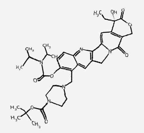 CC[C@@]1(O)C(=O)OCc2c1cc1n(c2=O)Cc2cc3c(CN4CCN(C(=O)OC(C)(C)C)CC4)c(OC(=O)N(C(C)C)C(C)C)ccc3nc2-1